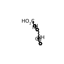 O=C(O)/C=C/c1cnc(-c2ccc(CCCCNC(=O)OCc3ccccc3)cc2)nc1